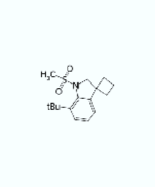 CC(C)(C)c1cccc2c1N(S(C)(=O)=O)CC21CCC1